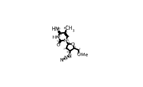 COCC1OC(n2cc(C)c(=N)[nH]c2=O)CC1N=[N+]=[N-]